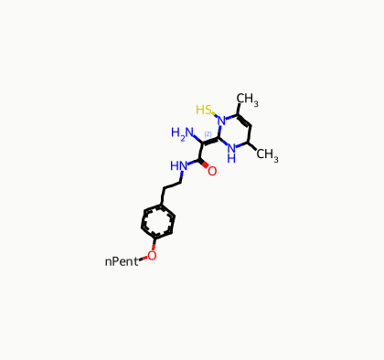 CCCCCOc1ccc(CCNC(=O)/C(N)=C2\NC(C)C=C(C)N2S)cc1